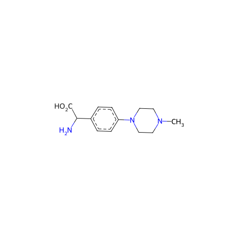 CN1CCN(c2ccc(C(N)C(=O)O)cc2)CC1